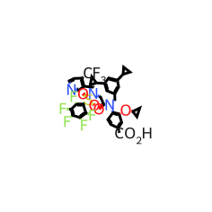 O=C(O)c1ccc(N(Cc2cc(C3CC3)cc(C3CC3)c2)C(=O)CN(Cc2cnccc2C(F)(F)F)S(=O)(=O)c2c(F)c(F)c(F)c(F)c2F)c(OC2CC2)c1